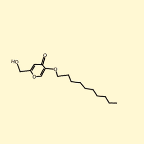 CCCCCCCCCCOc1coc(CO)cc1=O